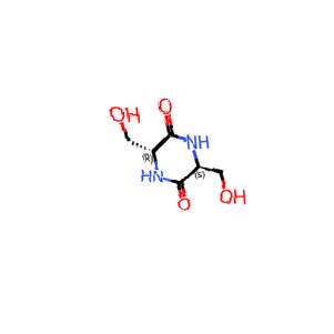 O=C1N[C@H](CO)C(=O)N[C@H]1CO